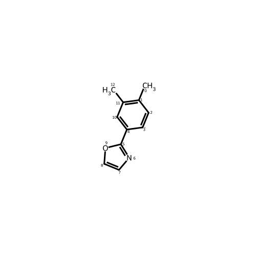 Cc1c[c]c(-c2ncco2)cc1C